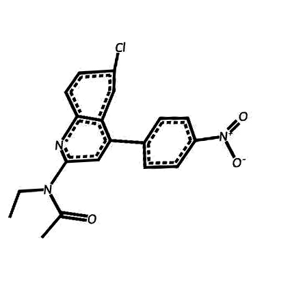 CCN(C(C)=O)c1cc(-c2ccc([N+](=O)[O-])cc2)c2cc(Cl)ccc2n1